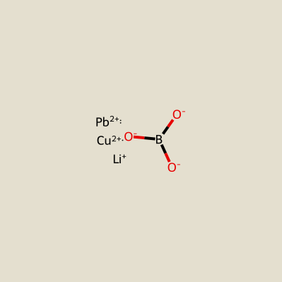 [Cu+2].[Li+].[O-]B([O-])[O-].[Pb+2]